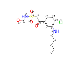 CCCCCNc1cc(C(=O)CS(=O)(=O)NC=O)ccc1Cl